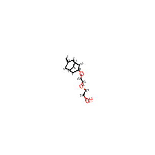 CC1CC2CC(C1)CC(OCCOCCO)C2